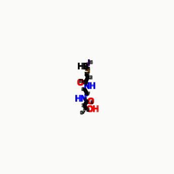 C[C@@H](O)CC(=O)NCCNC(=O)CCSBI